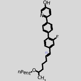 CCCCCOC(C)CCC/C=C/c1ccc(-c2ccc(-c3ccc(O)cn3)cc2)c(F)c1